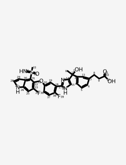 CC(O)(c1cccc(CCC(=O)O)c1)c1c[nH]c(-c2cc(Oc3c(F)cc4[nH]ccc4c3S(C)(=N)=O)ccc2F)n1